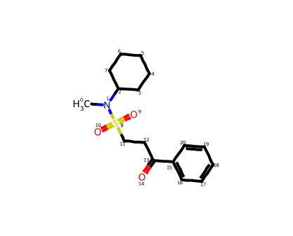 CN(C1CCCCC1)S(=O)(=O)CCC(=O)c1ccccc1